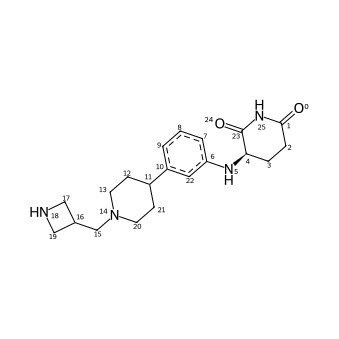 O=C1CC[C@@H](Nc2cccc(C3CCN(CC4CNC4)CC3)c2)C(=O)N1